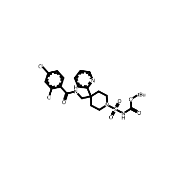 CC(C)(C)OC(=O)NS(=O)(=O)N1CCC(CNC(=O)c2ccc(Cl)cc2Cl)(c2ccccn2)CC1